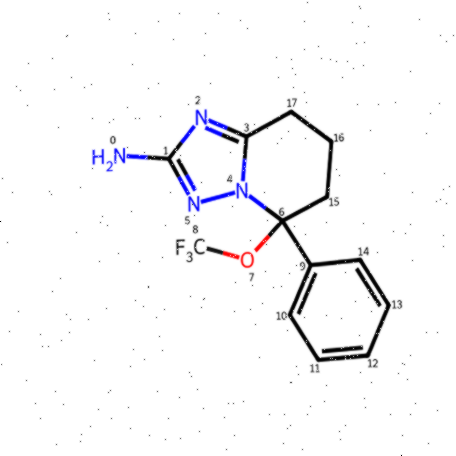 Nc1nc2n(n1)C(OC(F)(F)F)(c1ccccc1)CCC2